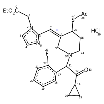 CCOC(=O)Cn1ccnc1/C=C1\CN(C(C(=O)C2CC2)c2ccccc2F)CCC1SC(C)=O.Cl